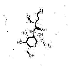 CO[C@@H]1O[C@H](CO)[C@@H](O)[C@H](O)[C@@]1(O)NC(=O)N(CCCl)N=O